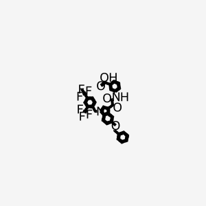 O=C(Nc1cccc(C(=O)O)c1)C(=O)c1cn(Cc2ccc(C(F)(F)F)cc2C(F)(F)F)c2ccc(OCc3ccccc3)cc12